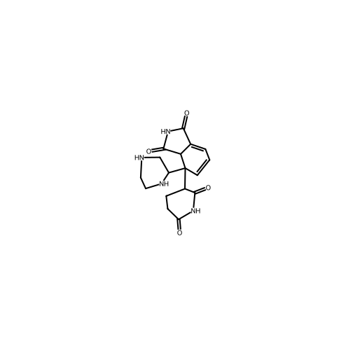 O=C1CCC(C2(C3CNCCN3)C=CC=C3C(=O)NC(=O)C32)C(=O)N1